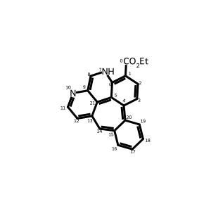 CCOC(=O)c1ccc2c3c1[nH]cc1nccc(cc4ccccc42)c1=3